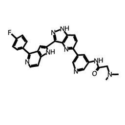 CN(C)CC(=O)Nc1cncc(-c2ccc3[nH]nc(-c4cc5c(-c6ccc(F)cc6)nccc5[nH]4)c3n2)c1